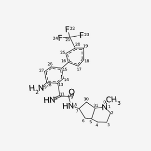 CN1CCCC2CC(NC(=O)C(=N)c3cc(-c4cccc(C(F)(F)F)c4)ccc3N)CC21